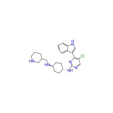 Clc1cnc(N[C@H]2CC[C@H](NCC3CCCNC3)CC2)nc1-c1c[nH]c2ccccc12